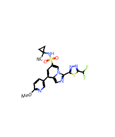 COc1ccc(-c2cc(S(=O)(=O)NC3(C#N)CC3)cn3c(-c4nnc(C(F)F)s4)ncc23)cn1